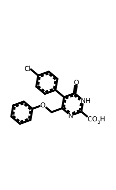 O=C(O)c1nc(COc2ccccc2)c(-c2ccc(Cl)cc2)c(=O)[nH]1